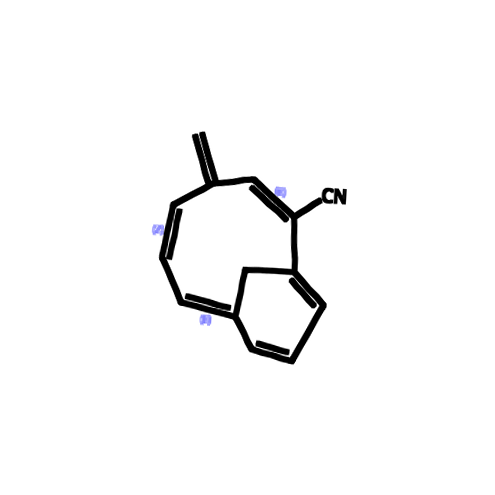 C=C1/C=C\C=C2\C=CC=C(C2)/C(C#N)=C\1